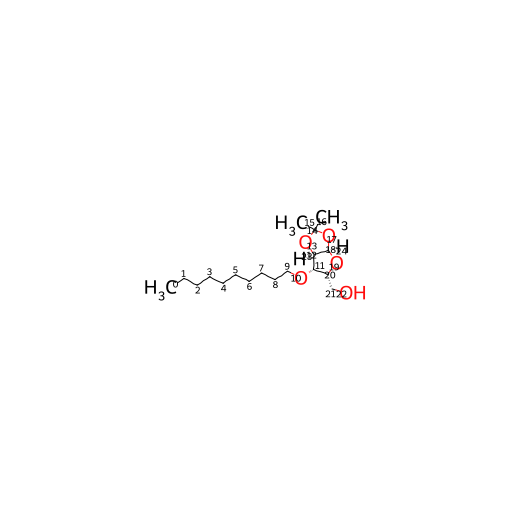 CCCCCCCCCCO[C@@H]1[C@H]2OC(C)(C)O[C@H]2O[C@@H]1CO